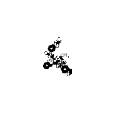 CC(C)CN(C[C@@H](O)[C@H](Cc1ccccc1)NC(=O)[C@@H]1CN(c2cccc(OC(F)(F)F)c2)C(=O)O1)S(=O)(=O)c1ccc2occc2c1